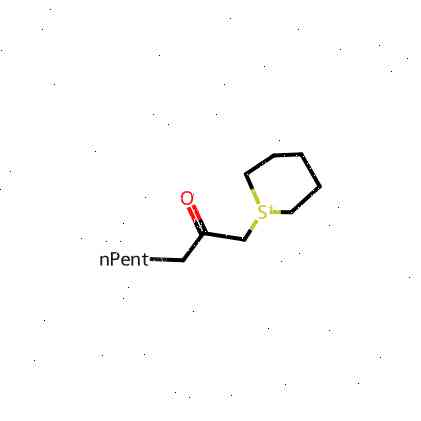 CCCCCCC(=O)C[S+]1CCCCC1